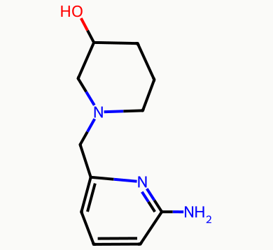 Nc1cccc(CN2CCCC(O)C2)n1